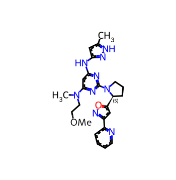 COCCN(C)c1cc(Nc2cc(C)[nH]n2)nc(N2CCC[C@H]2c2cc(-c3ccccn3)no2)n1